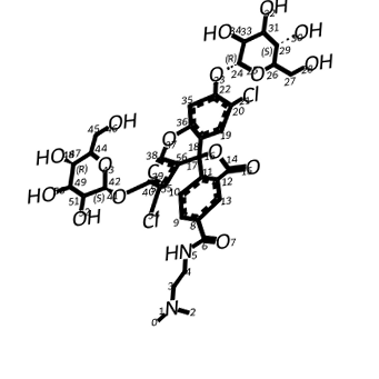 CN(C)CCNC(=O)c1ccc2c(c1)C(=O)OC21c2cc(Cl)c(O[C@H]3OC(CO)[C@@H](O)C(O)C3O)cc2Oc2cc(O[C@@H]3OC(CO)[C@H](O)C(O)C3O)c(Cl)cc21